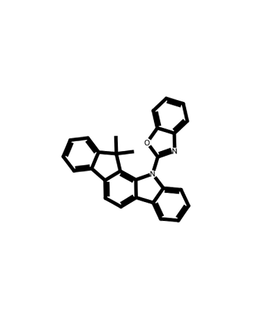 CC1(C)c2ccccc2-c2ccc3c4ccccc4n(-c4nc5ccccc5o4)c3c21